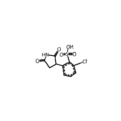 O=C1CC(c2cccc(Cl)c2S(=O)(=O)O)C(=O)N1